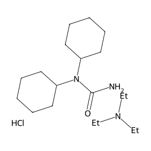 CCN(CC)CC.Cl.NC(=O)N(C1CCCCC1)C1CCCCC1